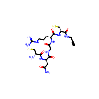 C#CCNC(=O)[C@@H](CS)NC(=O)[C@@H](CCCNC(=N)N)NC(=O)CNC(=O)[C@@H](CC(N)=O)NC(=O)[C@H](N)CS